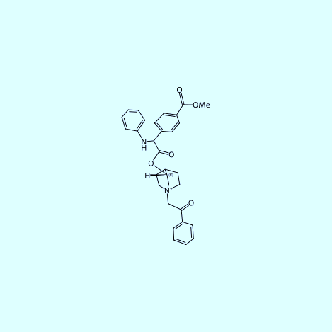 COC(=O)c1ccc(C(Nc2ccccc2)C(=O)O[C@H]2C[N+]3(CC(=O)c4ccccc4)CCC2CC3)cc1